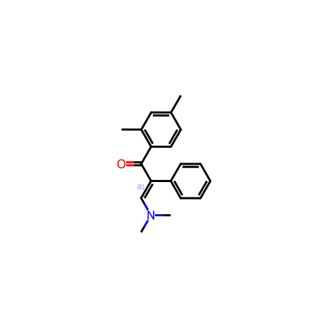 Cc1ccc(C(=O)/C(=C/N(C)C)c2ccccc2)c(C)c1